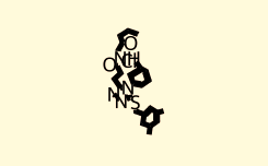 CC1=CC(C)CC(CSc2nnc(CCC(=O)NCC3CCCO3)n2-c2cccc(Cl)c2)=C1